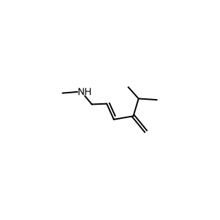 C=C(/C=C/CNC)C(C)C